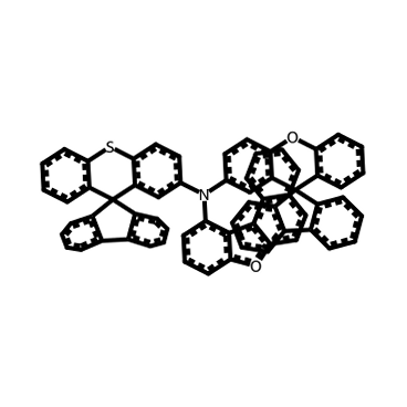 c1ccc2c(c1)Oc1ccc(N(c3ccc4c(c3)C3(c5ccccc5S4)c4ccccc4-c4ccccc43)c3cccc4oc5ccc6ccccc6c5c34)cc1C21c2ccccc2-c2ccccc21